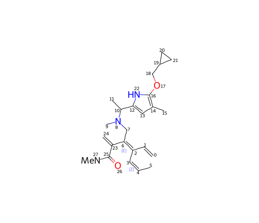 C=CC(/C=C\C)=C(\CN(C)C(C)c1cc(C)c(OCC2CC2)[nH]1)C(=C)C(=O)NC